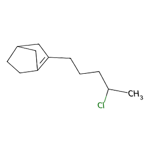 CC(Cl)CCCC1=C2CCC(C1)C2